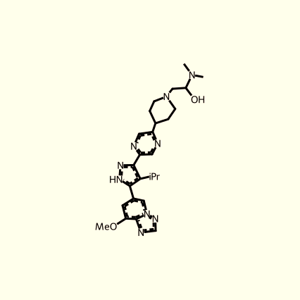 COc1cc(-c2[nH]nc(-c3cnc(C4CCN(CC(O)N(C)C)CC4)cn3)c2C(C)C)cn2ncnc12